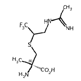 CC(=N)NCC(SC[C@](C)(N)C(=O)O)C(F)(F)F